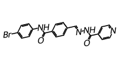 O=C(NN=Cc1ccc(C(=O)Nc2ccc(Br)cc2)cc1)c1ccncc1